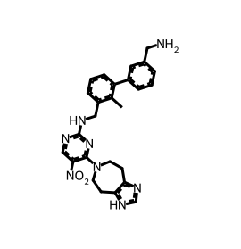 Cc1c(CNc2ncc([N+](=O)[O-])c(N3CCc4nc[nH]c4CC3)n2)cccc1-c1cccc(CN)c1